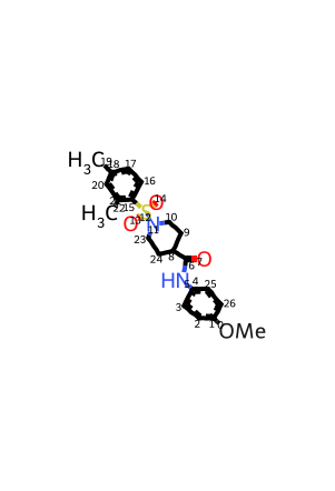 COc1ccc(NC(=O)C2CCN(S(=O)(=O)c3ccc(C)cc3C)CC2)cc1